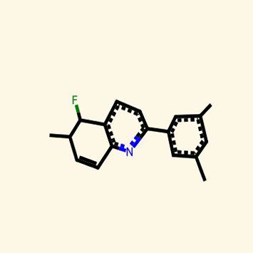 Cc1cc(C)cc(-c2ccc3c(n2)C=CC(C)C3F)c1